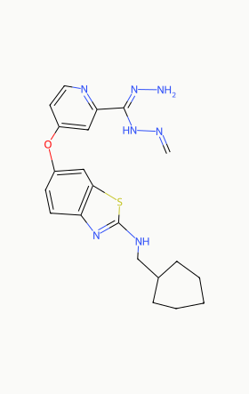 C=NN/C(=N\N)c1cc(Oc2ccc3nc(NCC4CCCCC4)sc3c2)ccn1